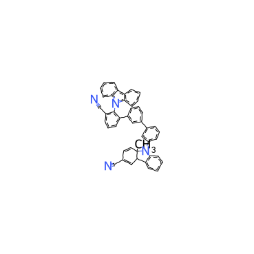 CC12C=CC(C#N)=CC1c1ccccc1N2c1cccc(-c2cccc(-c3cccc(C#N)c3-n3c4ccccc4c4ccccc43)c2)c1